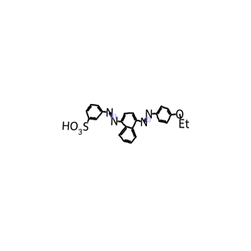 CCOc1ccc(/N=N/c2ccc(/N=N/c3cccc(S(=O)(=O)O)c3)c3ccccc23)cc1